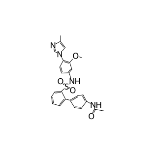 COc1cc(NS(=O)(=O)c2ccccc2-c2ccc(NC(C)=O)cc2)ccc1-n1cnc(C)c1